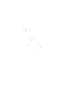 NC(=O)NCc1cscn1